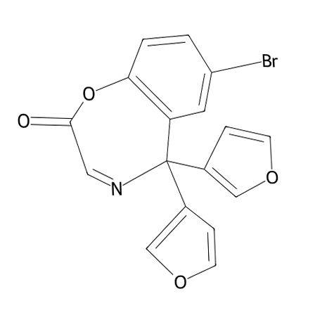 O=C1C=NC(c2ccoc2)(c2ccoc2)c2cc(Br)ccc2O1